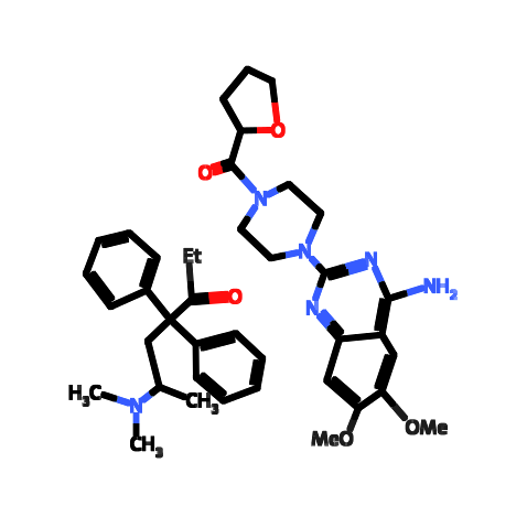 CCC(=O)C(CC(C)N(C)C)(c1ccccc1)c1ccccc1.COc1cc2nc(N3CCN(C(=O)C4CCCO4)CC3)nc(N)c2cc1OC